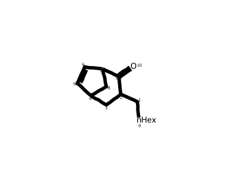 CCCCCCCC1CC2C=CC(C2)C1=O